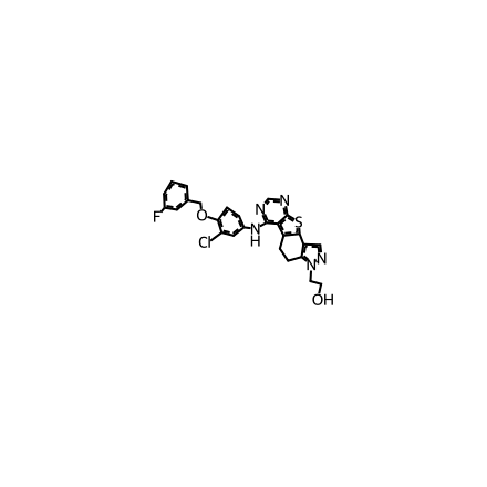 OCCn1ncc2c1CCc1c-2sc2ncnc(Nc3ccc(OCc4cccc(F)c4)c(Cl)c3)c12